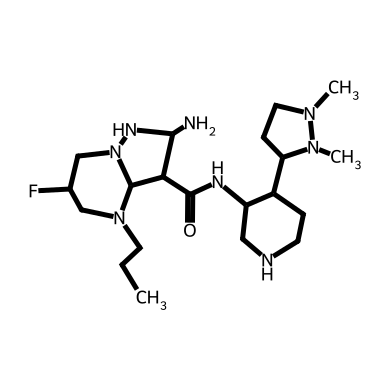 CCCN1CC(F)CN2NC(N)C(C(=O)NC3CNCCC3C3CCN(C)N3C)C12